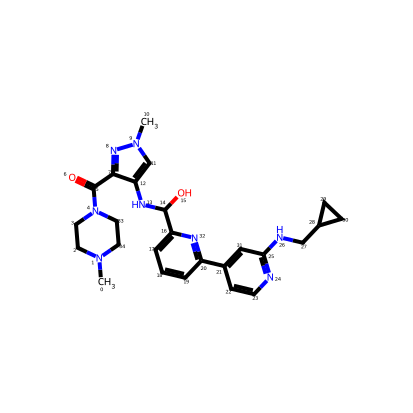 CN1CCN(C(=O)c2nn(C)cc2NC(O)c2cccc(-c3ccnc(NCC4CC4)c3)n2)CC1